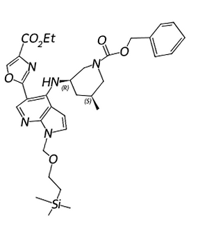 CCOC(=O)c1coc(-c2cnc3c(ccn3COCC[Si](C)(C)C)c2N[C@@H]2C[C@H](C)CN(C(=O)OCc3ccccc3)C2)n1